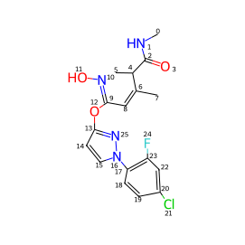 CNC(=O)C(C)/C(C)=C\C(=N\O)Oc1ccn(-c2ccc(Cl)cc2F)n1